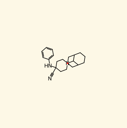 N#CC1(Nc2ccccc2)CCN(C2C3CCCC2CCC3)CC1